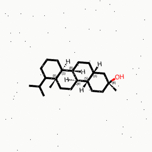 CC(C)C1CCC[C@H]2[C@@H]3CC[C@@H]4C[C@](C)(O)CC[C@@H]4[C@H]3CC[C@]12C